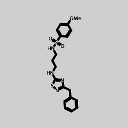 COc1ccc(S(=O)(=O)NCCCNc2nc(Cc3ccccc3)ns2)cc1